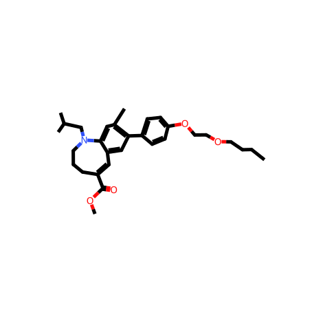 CCCCOCCOc1ccc(-c2cc3c(cc2C)N(CC(C)C)CCCC(C(=O)OC)=C3)cc1